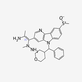 C/C(N)=C(\c1cnc2c3cc([S+](C)[O-])ccc3n(C(c3ccccc3)C3CCOCC3)c2c1)N(C)N